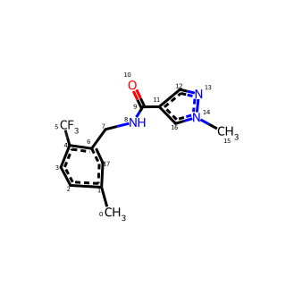 Cc1ccc(C(F)(F)F)c(CNC(=O)c2cnn(C)c2)c1